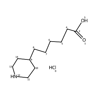 Cl.O=C(O)CCCCCC1CCNCC1